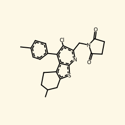 Cc1ccc(-c2c(Cl)c(CN3C(=O)CCC3=O)nc3sc4c(c23)CCC(C)C4)cc1